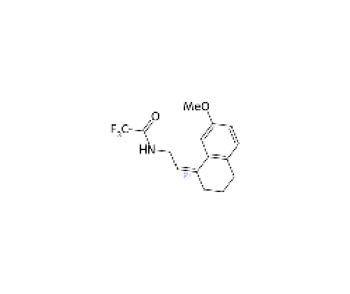 COc1ccc2c(c1)/C(=C\CNC(=O)C(F)(F)F)CCC2